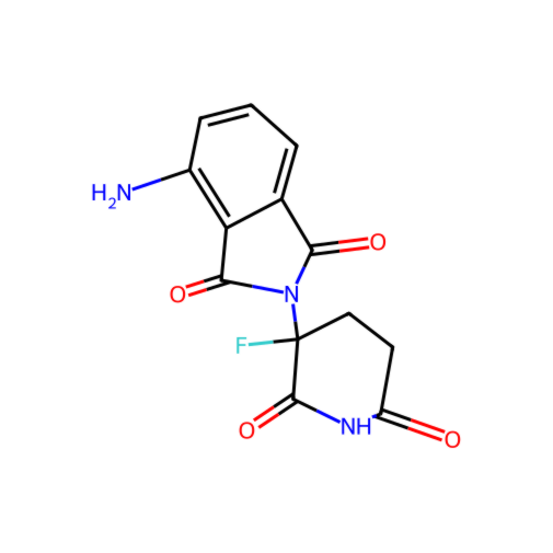 Nc1cccc2c1C(=O)N(C1(F)CCC(=O)NC1=O)C2=O